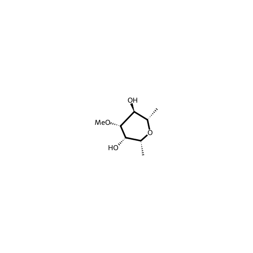 CO[C@@H]1[C@@H](O)[C@H](C)O[C@H](C)[C@@H]1O